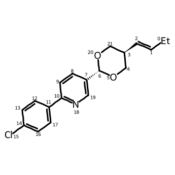 CCC=C[C@H]1CO[C@H](c2ccc(-c3ccc(Cl)cc3)nc2)OC1